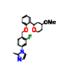 COC1CCOC(c2ccccc2OCc2ccc(-n3ccnc3C)cc2F)C1